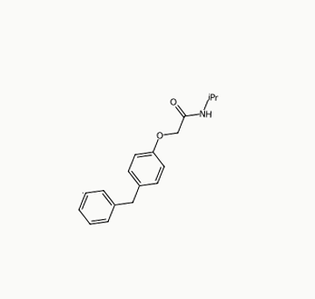 CC(C)NC(=O)COc1ccc(Cc2c[c]ccc2)cc1